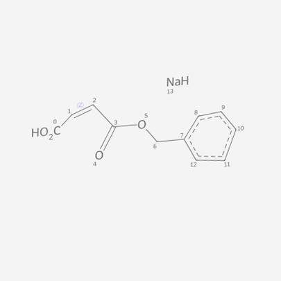 O=C(O)/C=C\C(=O)OCc1ccccc1.[NaH]